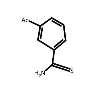 CC(=O)c1cccc(C(N)=S)c1